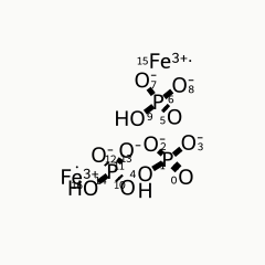 O=P([O-])([O-])O.O=P([O-])([O-])O.O=P([O-])([O-])O.[Fe+3].[Fe+3]